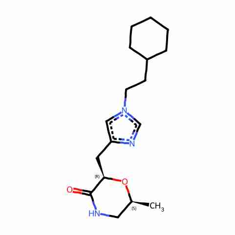 C[C@H]1CNC(=O)[C@@H](Cc2cn(CCC3CCCCC3)cn2)O1